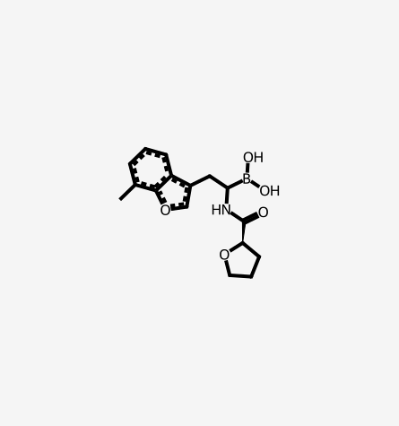 Cc1cccc2c(CC(NC(=O)[C@H]3CCCO3)B(O)O)coc12